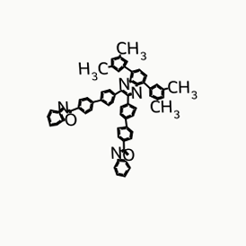 Cc1cc(C)cc(-c2ccc(-c3cc(C)cc(C)c3)c3nc(-c4ccc(-c5ccc(-c6nc7ccccc7o6)cc5)cc4)c(-c4ccc(-c5ccc(-c6nc7ccccc7o6)cc5)cc4)nc23)c1